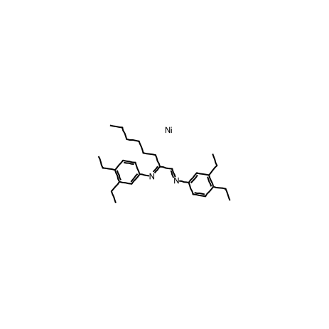 CCCCCCC(C=Nc1ccc(CC)c(CC)c1)=Nc1ccc(CC)c(CC)c1.[Ni]